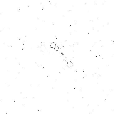 C=C(F)c1c2cccc(N[C@@H]3CCN(C)C[C@@H]3F)c2nn1C#CCNc1ccc(S(C)(=O)=O)cc1OC